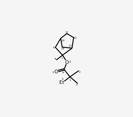 CCC(C)(C)C(=O)OC1(C)CC2CCC1C2